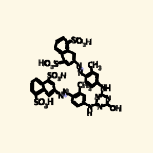 Cc1cc(Nc2nc(O)nc(Nc3ccc(/N=N/c4cc(S(=O)(=O)O)c5cccc(S(=O)(=O)O)c5c4)c(C)c3)n2)ccc1/N=N/c1cc(S(=O)(=O)O)c2cccc(S(=O)(=O)O)c2c1